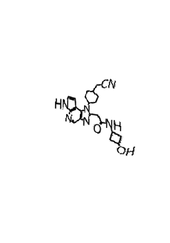 N#CCC1CCC(n2c(CC(=O)NC3CC(O)C3)nc3cnc4[nH]ccc4c32)CC1